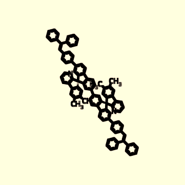 Cc1cc2c(cc1C)[C@@]1(c3cc(-c4ccc(C=C(c5ccccc5)c5ccccc5)cc4)ccc3-c3ccc(-c4ccc5c(c4)[C@@]4(c6cc(-c7ccc(C=C(c8ccccc8)c8ccccc8)cc7)ccc6-5)c5cc(C)c(C)cc5-c5cccnc54)cc31)c1ncccc1-2